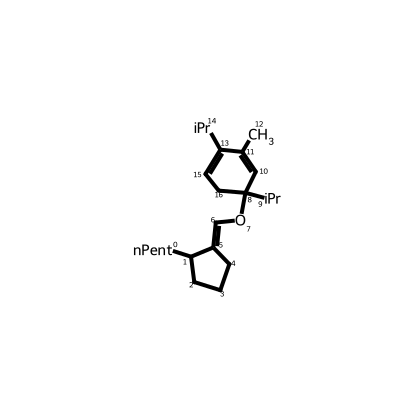 CCCCCC1CCCC1=COC1(C(C)C)C=C(C)C(C(C)C)=CC1